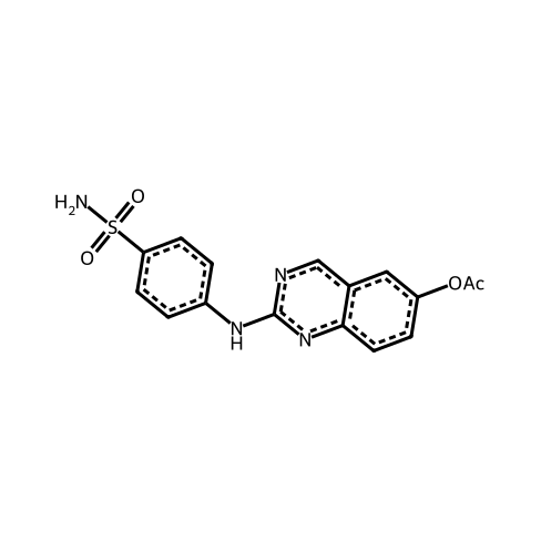 CC(=O)Oc1ccc2nc(Nc3ccc(S(N)(=O)=O)cc3)ncc2c1